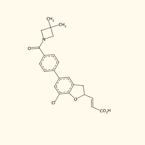 CC1(C)CN(C(=O)c2ccc(-c3cc(Cl)c4c(c3)CC(C=CC(=O)O)O4)cc2)C1